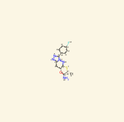 CC[C@@H](Sc1ccc2nnc(-c3ccc(F)cc3)n2n1)C(N)=O